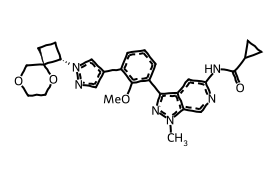 COc1c(-c2cnn([C@H]3CC[C@@]34COCCO4)c2)cccc1-c1nn(C)c2cnc(NC(=O)C3CC3)cc12